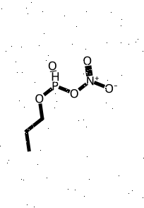 CCCO[PH](=O)O[N+](=O)[O-]